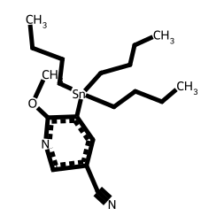 CCC[CH2][Sn]([CH2]CCC)([CH2]CCC)[c]1cc(C#N)cnc1OC